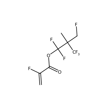 C=C(F)C(=O)OC(F)(F)C(C)(CF)C(F)(F)F